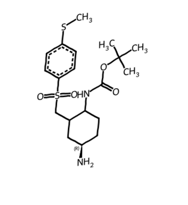 CSc1ccc(S(=O)(=O)CC2C[C@H](N)CCC2NC(=O)OC(C)(C)C)cc1